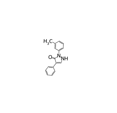 Cc1cccc(-n2[nH]cc(-c3ccccc3)c2=O)c1